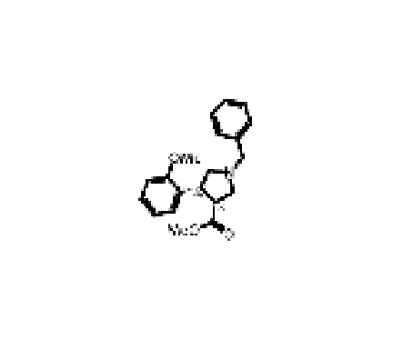 COC(=O)[C@@H]1CN(Cc2ccccc2)C[C@H]1c1ccccc1OC